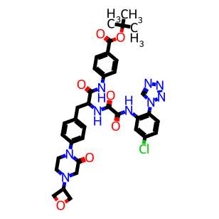 CC(C)(C)OC(=O)c1ccc(NC(=O)C(Cc2ccc(N3CCN(C4COC4)CC3=O)cc2)NC(=O)C(=O)Nc2cc(Cl)ccc2-n2cnnn2)cc1